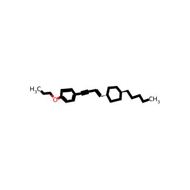 CCCCC[C@H]1CC[C@H](C=CC#Cc2ccc(OCCC)cc2)CC1